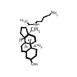 CC(NCCCCN)[C@H]1CC[C@H]2[C@@H]3CCC4CC(O)CC[C@]4(C)[C@H]3CC[C@]12C